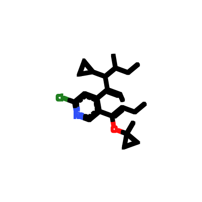 C/C=C(\c1cc(Cl)ncc1/C(=C/CC)OC1(C)CC1)C(C(C)CC)C1CC1